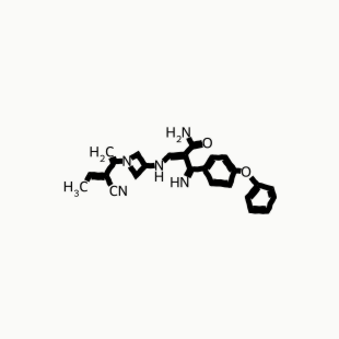 C=C(/C(C#N)=C/C)N1CC(N/C=C(\C(=N)c2ccc(Oc3ccccc3)cc2)C(N)=O)C1